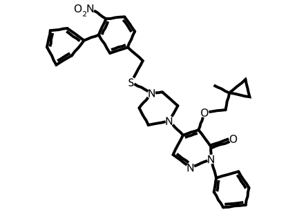 CC1(COc2c(N3CCN(SCc4ccc([N+](=O)[O-])c(-c5ccccc5)c4)CC3)cnn(-c3ccccc3)c2=O)CC1